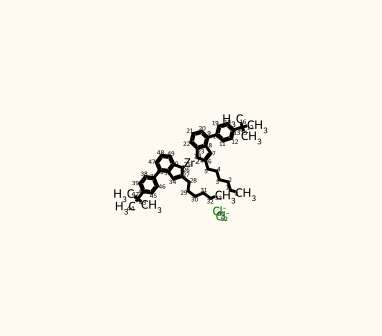 CCCCCCC1=Cc2c(-c3ccc(C(C)(C)C)cc3)cccc2[CH]1[Zr+2][CH]1C(CCCCCC)=Cc2c(-c3ccc(C(C)(C)C)cc3)cccc21.[Cl-].[Cl-]